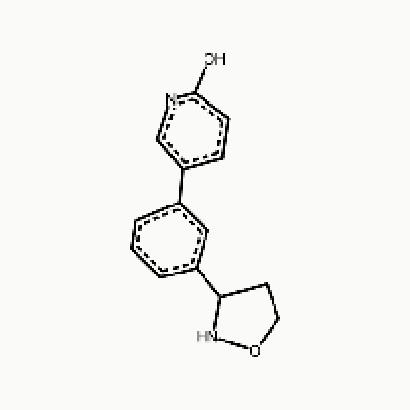 Oc1ccc(-c2cccc(C3CCON3)c2)cn1